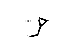 ClCC1CO1.[OH]